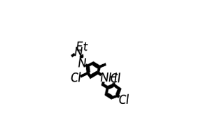 CCN(C)C=Nc1cc(C)c(NCc2ccc(Cl)cc2Cl)cc1Cl